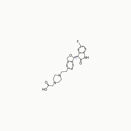 O=C(O)CN1CCN(CCc2ccc3c(c2)CO/C3=C2/C(=O)Nc3ccc(F)cc32)CC1